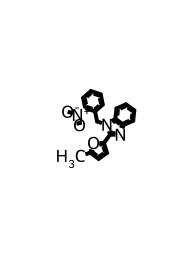 Cc1ccc(-c2nc3ccccc3n2Cc2ccccc2[N+](=O)[O-])o1